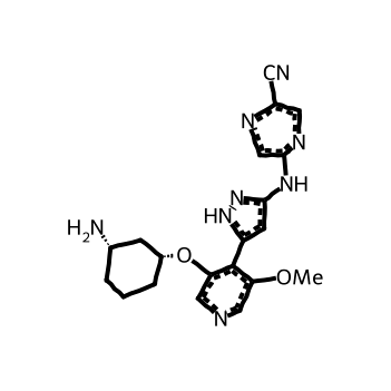 COc1cncc(O[C@@H]2CCC[C@H](N)C2)c1-c1cc(Nc2cnc(C#N)cn2)n[nH]1